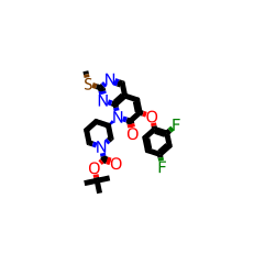 CSc1ncc2cc(Oc3ccc(F)cc3F)c(=O)n([C@@H]3CCCN(C(=O)OC(C)(C)C)C3)c2n1